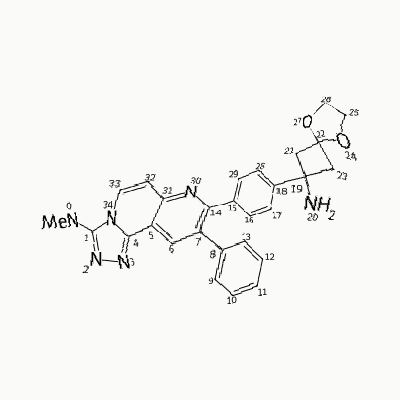 CNc1nnc2c3cc(-c4ccccc4)c(-c4ccc(C5(N)CC6(C5)OCCO6)cc4)nc3ccn12